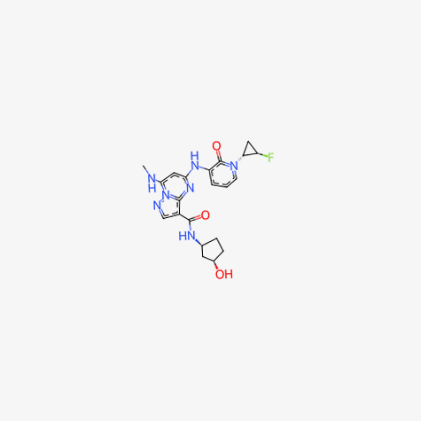 CNc1cc(Nc2cccn([C@@H]3C[C@H]3F)c2=O)nc2c(C(=O)N[C@H]3CC[C@@H](O)C3)cnn12